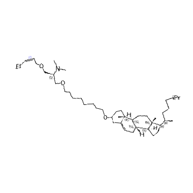 CC/C=C\COC[C@H](COCCCCCCCCOC1CC[C@@]2(C)C(=CC[C@H]3[C@@H]4CC[C@H]([C@H](C)CCCC(C)C)[C@@]4(C)CC[C@@H]32)C1)N(C)C